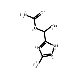 CC(C)(C)C(OC(N)=O)c1nc(C(F)(F)F)n[nH]1